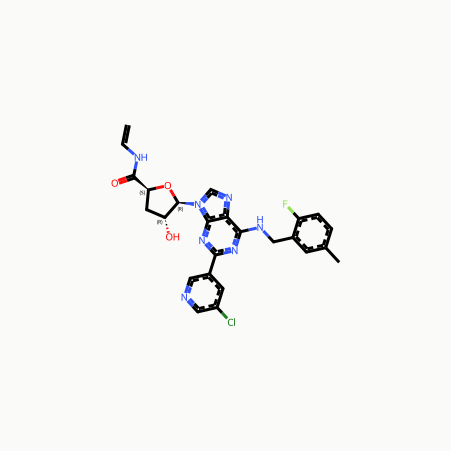 C=CNC(=O)[C@@H]1C[C@@H](O)[C@H](n2cnc3c(NCc4cc(C)ccc4F)nc(-c4cncc(Cl)c4)nc32)O1